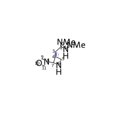 CNNC(/C=C1\CNC1N1COC1)NC